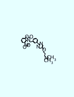 CN(C)CCCOc1cnc(-c2cccc(Cn3c(=O)oc4cccc([N+](=O)[O-])c43)c2)nc1